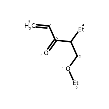 [CH2]COCC(CC)C(=O)C=C